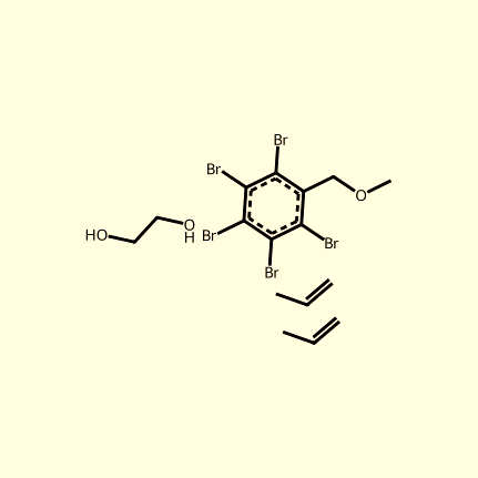 C=CC.C=CC.COCc1c(Br)c(Br)c(Br)c(Br)c1Br.OCCO